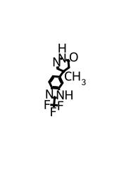 CC1(c2ccc3nc(C(F)(F)F)[nH]c3c2)C=NNC(=O)C1